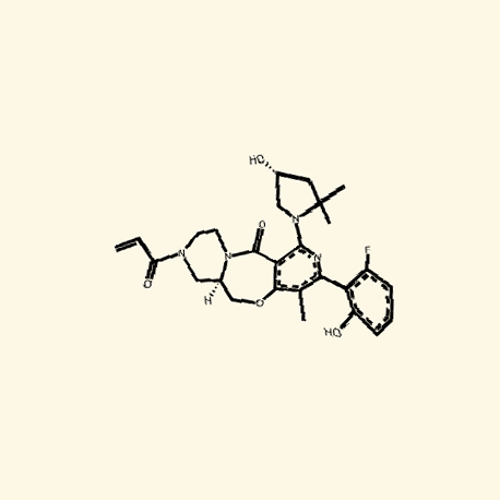 C=CC(=O)N1CCN2C(=O)c3c(N4C[C@H](O)CC4(C)C)nc(-c4c(O)cccc4F)c(C)c3OC[C@H]2C1